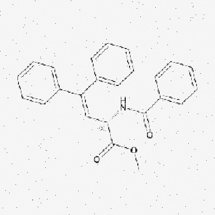 COC(=O)[C@H](C=C(c1ccccc1)c1ccccc1)NC(=O)c1ccccc1